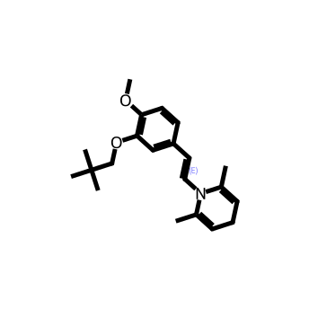 COc1ccc(/C=C/N2C(C)=CCC=C2C)cc1OCC(C)(C)C